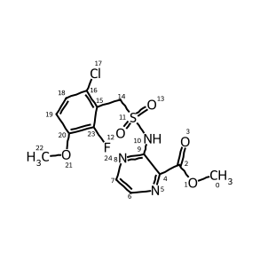 COC(=O)c1nccnc1NS(=O)(=O)Cc1c(Cl)ccc(OC)c1F